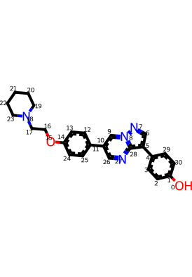 Oc1ccc(-c2cnn3cc(-c4ccc(OCCN5CCCCC5)cc4)cnc23)cc1